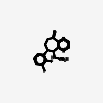 O=C(O)N[C@@H]1c2nccnc2C(=O)CC[C@@H]1c1cccc(F)c1F